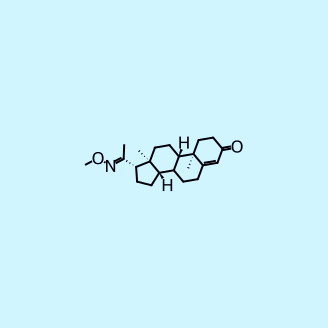 CO/N=C(\C)[C@H]1CC[C@H]2C3CCC4=CC(=O)CC[C@]4(C)[C@H]3CC[C@]12C